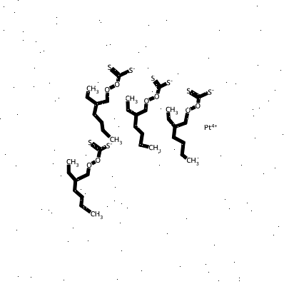 CCCCC(CC)COOC(=S)[S-].CCCCC(CC)COOC(=S)[S-].CCCCC(CC)COOC(=S)[S-].CCCCC(CC)COOC(=S)[S-].[Pt+4]